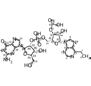 CCc1ncnc2c1ncn2[C@@H]1O[C@H](COP(=O)(O)O[C@@H]2[C@H](O)[C@@H](CO)O[C@H]2n2cnc3c(=O)[nH]c(N)nc32)[C@@H](O[PH](=O)O)[C@H]1O